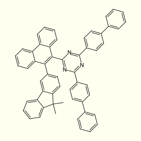 CC1(C)c2ccccc2-c2cc(-c3c(-c4nc(-c5ccc(-c6ccccc6)cc5)nc(-c5ccc(-c6ccccc6)cc5)n4)c4ccccc4c4ccccc34)ccc21